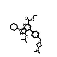 CCOC(=O)c1cc(-c2ccc(CN3CC(N(C)C)C3)cc2)c2c(OC(C)C)nn(C3CCCCC3)c2n1